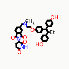 CCC(=C(c1ccc(O)cc1)c1ccc(OCCN(C)Cc2ccc3c(c2)C(=O)N(C2CCC(=O)NC2=O)C3=O)cc1)c1ccc(O)cc1